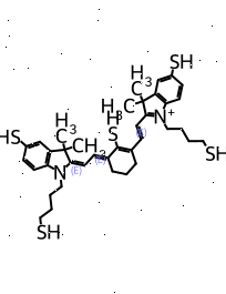 CC1(C)C(/C=C/C2=C(S)C(=C/C=C3/N(CCCCS)c4ccc(S)cc4C3(C)C)/CCC2)=[N+](CCCCS)c2ccc(S)cc21